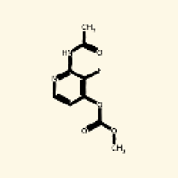 COC(=O)Oc1ccnc(NC(C)=O)c1F